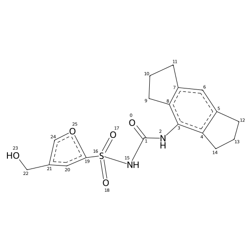 O=C(Nc1c2c(cc3c1CCC3)CCC2)NS(=O)(=O)c1cc(CO)co1